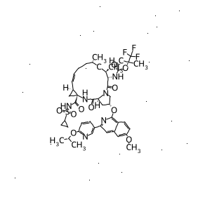 COc1ccc2c(O[C@@H]3C[C@H]4C(=O)N[C@]5(C(=O)NS(=O)(=O)C6CC6)C[C@H]5/C=C\CC[C@H](C)C[C@@H](C)[C@H](NC(=O)OC(C)(C)C(F)(F)F)C(=O)N4C3)nc(-c3ccc(OC(C)C)nc3)cc2c1